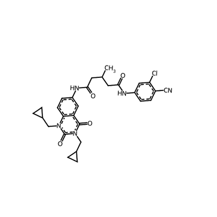 CC(CC(=O)Nc1ccc(C#N)c(Cl)c1)CC(=O)Nc1ccc2c(c1)c(=O)n(CC1CC1)c(=O)n2CC1CC1